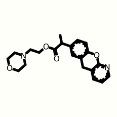 CC(C(=O)OCCN1CCOCC1)c1ccc2c(c1)Cc1cccnc1O2